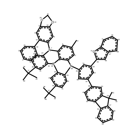 Cc1cc2c3c(c1)N(c1cc4c(cc1-c1ccccc1)OCO4)c1ccc(C(C)(C)C)cc1B3c1cc(C(C)(C)C)ccc1N2c1cc(-c2ccc3c(c2)C(C)(C)c2ccccc2-3)cc(-c2cc3ccccc3o2)c1